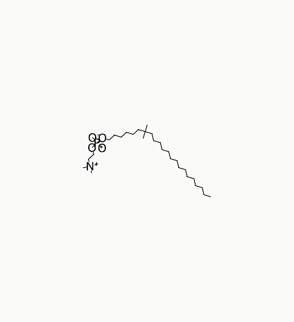 CCCCCCCCCCCCCCCC(C)(C)CCCCCCOP(=O)([O-])OCC[N+](C)(C)C